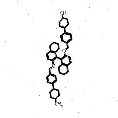 CC1CCC(c2ccc(COc3ccc4c(c3-c3c(OCc5ccc(C6CCC(C)CC6)cc5)ccc5c3CCCC5)CCCC4)cc2)CC1